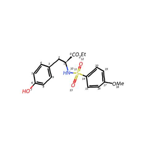 CCOC(=O)[C@H](Cc1ccc(O)cc1)NS(=O)(=O)c1ccc(OC)cc1